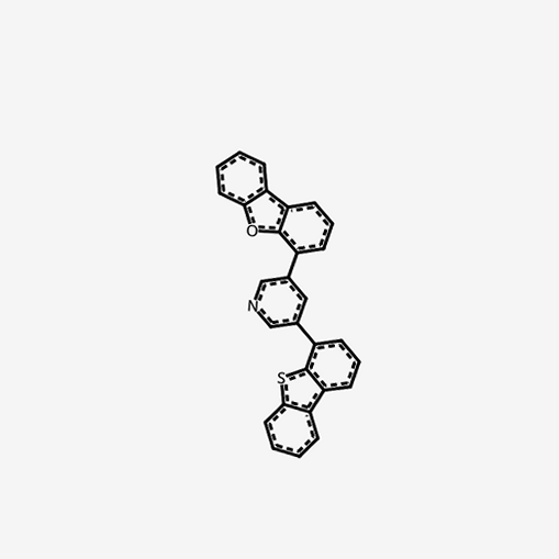 c1ccc2c(c1)oc1c(-c3cncc(-c4cccc5c4sc4ccccc45)c3)cccc12